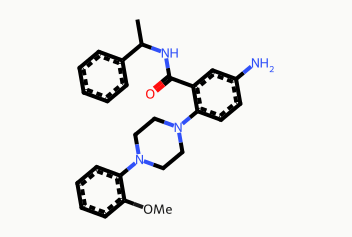 COc1ccccc1N1CCN(c2ccc(N)cc2C(=O)NC(C)c2ccccc2)CC1